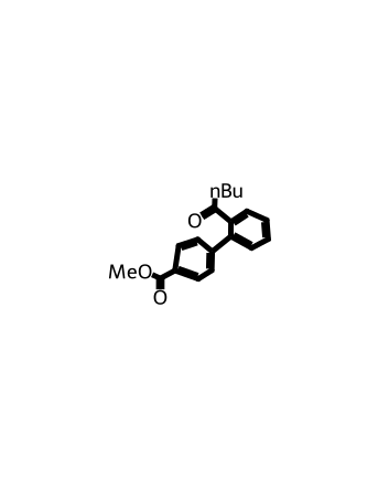 CCCCC(=O)c1ccccc1-c1ccc(C(=O)OC)cc1